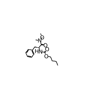 CCCCOC(=O)N[C@@H](Cc1ccccc1)C(=O)N(C)OC